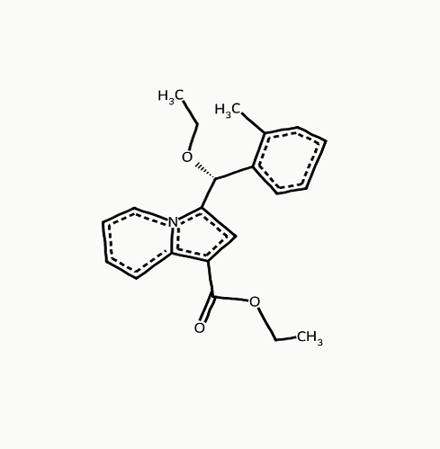 CCOC(=O)c1cc([C@H](OCC)c2ccccc2C)n2ccccc12